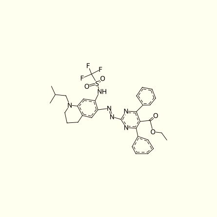 CCOC(=O)c1c(-c2ccccc2)nc(N=Nc2cc3c(cc2NS(=O)(=O)C(F)(F)F)N(CC(C)C)CCC3)nc1-c1ccccc1